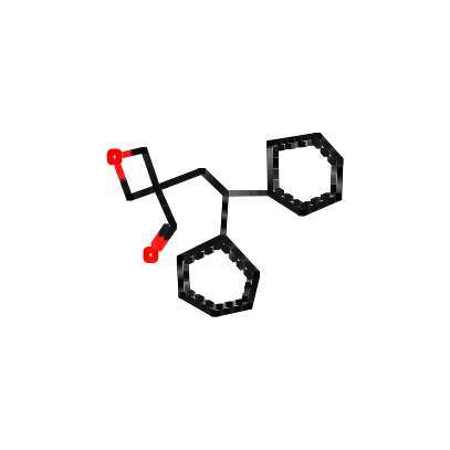 O=CC1(CC(c2ccccc2)c2ccccc2)COC1